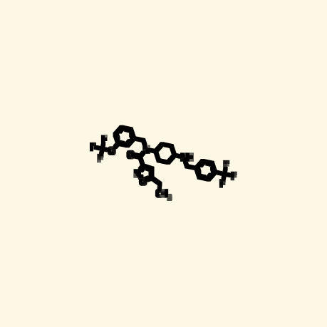 CCc1cc(C(=O)N(Cc2cccc(OC(F)(F)F)c2)C2CCC(NCc3ccc(C(F)(F)F)cc3)CC2)no1